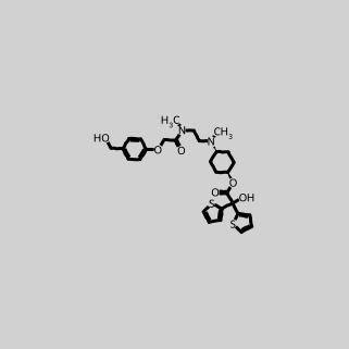 CN(CCN(C)[C@H]1CC[C@H](OC(=O)C(O)(c2cccs2)c2cccs2)CC1)C(=O)COc1ccc(CO)cc1